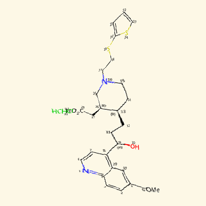 COc1ccc2nccc([C@H](O)CC[C@@H]3CCN(CCSc4cccs4)C[C@@H]3CC(=O)O)c2c1.Cl.Cl